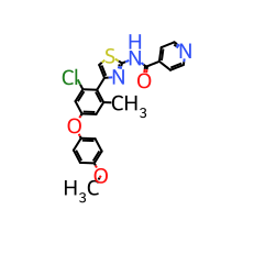 COc1ccc(Oc2cc(C)c(-c3csc(NC(=O)c4ccncc4)n3)c(Cl)c2)cc1